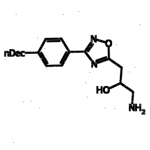 CCCCCCCCCCc1ccc(-c2noc(CC(O)CN)n2)cc1